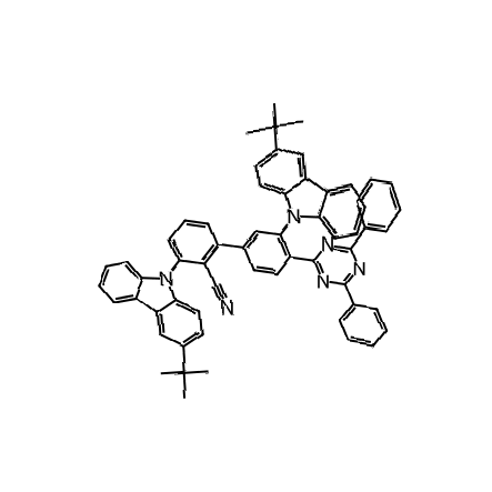 CC(C)(C)c1ccc2c(c1)c1ccccc1n2-c1cc(-c2cccc(-n3c4ccccc4c4cc(C(C)(C)C)ccc43)c2C#N)ccc1-c1nc(-c2ccccc2)nc(-c2ccccc2)n1